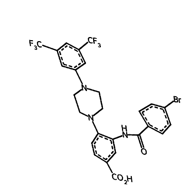 O=C(O)c1ccc(N2CCN(c3cc(C(F)(F)F)cc(C(F)(F)F)c3)CC2)c(NC(=O)c2ccc(Br)cc2)c1